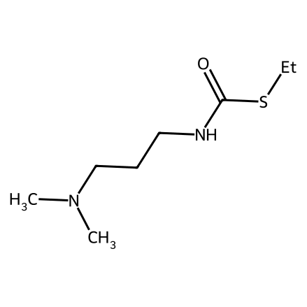 CCSC(=O)NCCCN(C)C